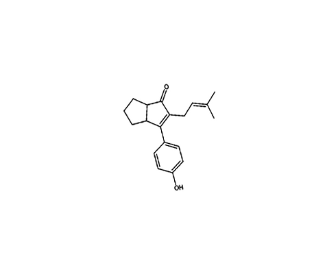 CC(C)=CCC1=C(c2ccc(O)cc2)C2CCCC2C1=O